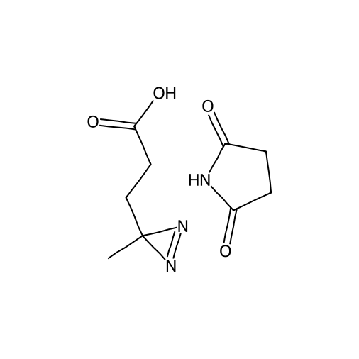 CC1(CCC(=O)O)N=N1.O=C1CCC(=O)N1